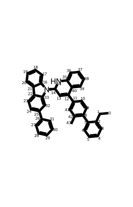 CCc1ccccc1-c1ccc(C2=CC(n3c4ccccc4c4ccc(-c5ccccc5)cc43)Nc3ccccc32)cc1C